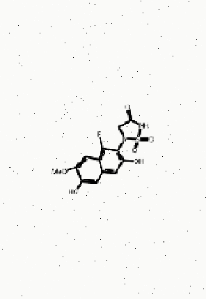 COc1cc2c(F)c(N3CC(=O)NS3(=O)=O)c(O)cc2cc1O